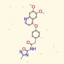 COc1cc2nccc(Oc3ccc(CC(=O)Nc4nc(C)no4)cc3)c2cc1OC